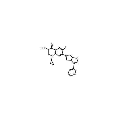 O=Cc1cn(C2CC2)c2cc(N3CC4ON=C(c5cccnc5)C4C3)c(F)cc2c1=O